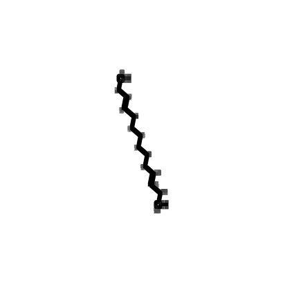 OCC=CCCCCCCC=CCO